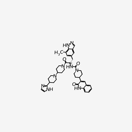 Cc1cc(C[C@H](NC(=O)N2CCC(c3cc4ccccc4[nH]c3=O)CC2)C(=O)N2CCC(N3CCC(c4ncc[nH]4)CC3)CC2)cc2cn[nH]c12